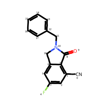 N#Cc1cc(F)cc2c1C(=O)N(Cc1ccccc1)C2